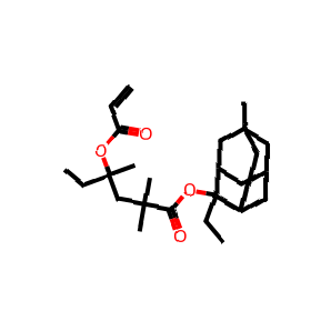 C=CC(=O)OC(C)(CC)CC(C)(C)C(=O)OC1(CC)C2CC3CC1CC(C)(C3)C2